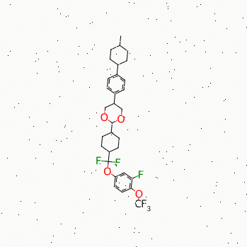 CC1CCC(c2ccc(C3COC(C4CCC(C(F)(F)Oc5ccc(OC(F)(F)F)c(F)c5)CC4)OC3)cc2)CC1